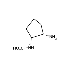 N[C@H]1CCC[C@H]1NC(=O)O